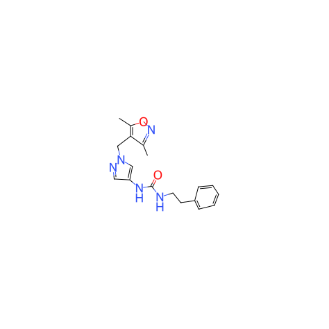 Cc1noc(C)c1Cn1cc(NC(=O)NCCc2ccccc2)cn1